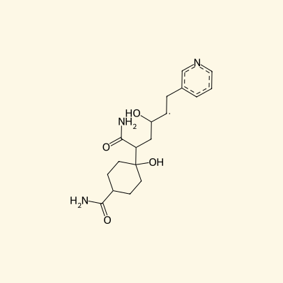 NC(=O)C1CCC(O)(C(CC(O)[CH]Cc2cccnc2)C(N)=O)CC1